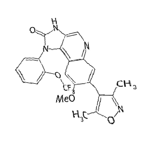 COc1cc2c(cc1-c1c(C)noc1C)ncc1[nH]c(=O)n(-c3ccccc3OC(F)(F)F)c12